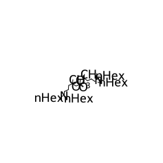 CCCCCCN(CCCCCC)CCCC(C)OC(=O)OC(C)CCCN(CCCCCC)CCCCCC